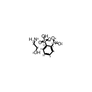 NCCO.O=[N+]([O-])c1ccccc1S(=O)(=O)O